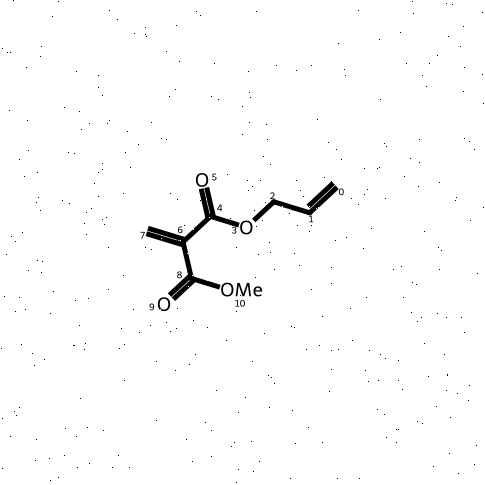 C=CCOC(=O)C(=C)C(=O)OC